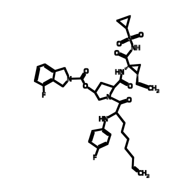 C=CCCCCCC(Nc1ccc(F)cc1)C(=O)N1CC(OC(=O)N2Cc3cccc(F)c3C2)CC1C(=O)N[C@]1(C(=O)NS(=O)(=O)C2CC2)C[C@H]1C=C